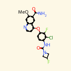 COc1cc2nccc(Oc3ccc(NC(=O)N4CC(F)C4)c(Cl)c3F)c2cc1C(N)=O